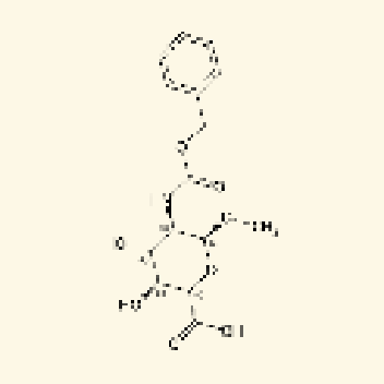 CO[C@H]1O[C@H](C(=O)O)[C@@H](O)[C@H](O)[C@H]1NC(=O)OCc1ccccc1